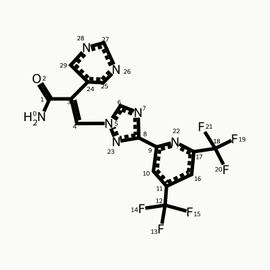 NC(=O)/C(=C/n1cnc(-c2cc(C(F)(F)F)cc(C(F)(F)F)n2)n1)c1cncnc1